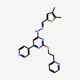 Cc1cc(C=NNc2cc(-c3ccncc3)nc(OCCc3ccccn3)n2)sc1C